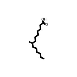 CCCCCCC(C)CCCCCCC(=O)O